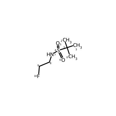 CC(C)(C)S(=O)(=O)NCCF